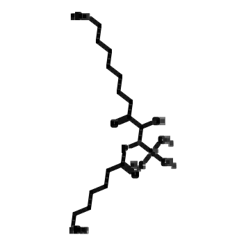 CCCCCCCCCCCCCCCCCC(=O)C(O)C([P-]C(=O)CCCCCCCCCCCCCCC)[N+](C)(C)C